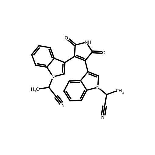 CC(C#N)n1cc(C2=C(c3cn(C(C)C#N)c4ccccc34)C(=O)NC2=O)c2ccccc21